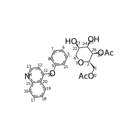 CC(=O)OC[C@H]1O[C@H](c2cccc(Oc3ccnc4ccccc34)c2)[C@@H](O)[C@@H](O)[C@H]1OC(C)=O